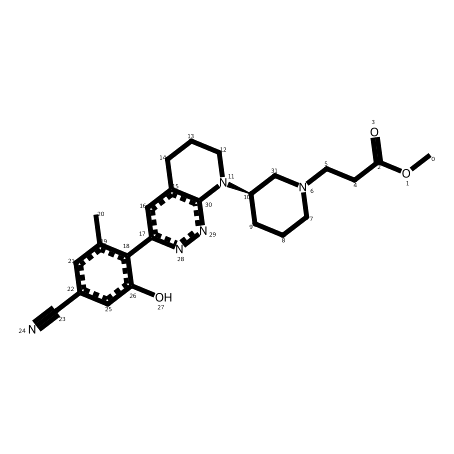 COC(=O)CCN1CCC[C@@H](N2CCCc3cc(-c4c(C)cc(C#N)cc4O)nnc32)C1